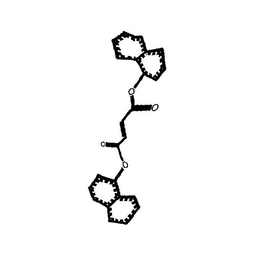 O=C(/C=C/C(=O)Oc1cccc2ccccc12)Oc1cccc2ccccc12